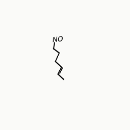 C/C=C/CCCN=O